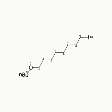 CCCCOCCCCCCCCI